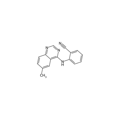 Cc1ccc2ncnc(Nc3ccccc3C#N)c2c1